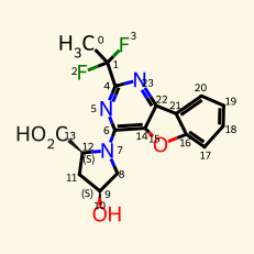 CC(F)(F)c1nc(N2C[C@@H](O)C[C@H]2C(=O)O)c2oc3ccccc3c2n1